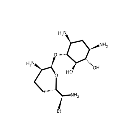 CC[C@H](N)[C@@H]1CC[C@@H](N)[C@@H](O[C@H]2[C@H](O)[C@@H](O)[C@H](N)C[C@@H]2N)O1